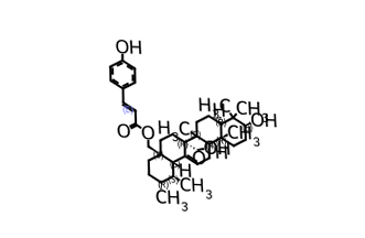 C[C@H]1[C@H](C)CC[C@]2(COC(=O)/C=C/c3ccc(O)cc3)CC[C@]3(C(=O)O)C(=CC[C@@H]4[C@@]5(C)CC[C@H](O)C(C)(C)[C@@H]5CC[C@]43C)[C@H]12